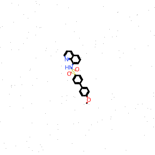 COc1ccc(-c2ccc(S(=O)(=O)Nc3cccc4cccnc34)cc2)cc1